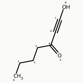 CCCCC(=O)C#CO